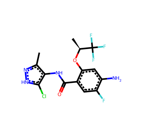 Cc1n[nH]c(Cl)c1NC(=O)c1cc(F)c(N)cc1O[C@@H](C)C(F)(F)F